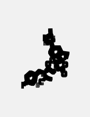 Cc1nnc(-c2ccc3c(c2)CC[C@@]32OC(=O)N(CC(=O)N(Cc3ccc(F)cc3)[C@@H](C)C(F)(F)F)C2=O)s1